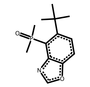 CC(C)(C)c1ccc2ocnc2c1P(C)(C)=O